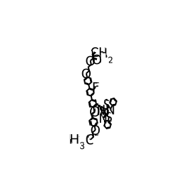 C=CC(=O)OCCCOc1ccc(-c2ccc(-c3ccc(OCc4ccc(OCCC)cc4)c(/C=N/N(c4nc5ccccc5s4)c4nc5ccccc5s4)c3)cc2F)cc1